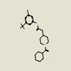 Cc1cc(NC(=O)CC2CCN(C(=O)C3CCCC[C@H]3N)CC2)cc(C(F)(F)F)c1